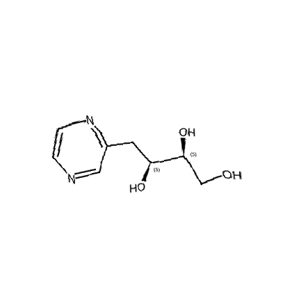 OC[C@H](O)[C@@H](O)Cc1cnccn1